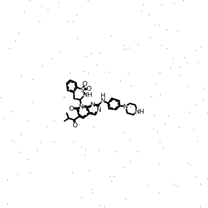 CC(C)C(=O)c1cc2cnc(Nc3ccc(N4CCNCC4)cc3)nc2n(C2Cc3ccccc3S(=O)(=O)N2)c1=O